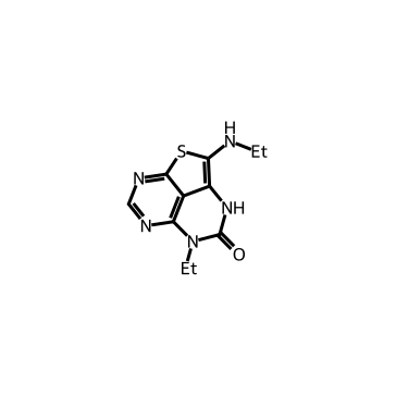 CCNc1sc2ncnc3c2c1NC(=O)N3CC